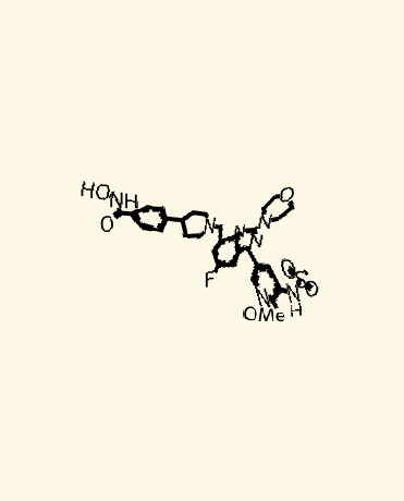 COc1ncc(-c2nc(N3CCOCC3)nc3c(CN4CCC(c5ccc(C(=O)NO)cc5)CC4)cc(F)cc23)cc1NS(C)(=O)=O